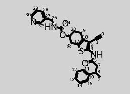 C#Cc1c(NC(=O)CC(C)c2ccccc2)sc2c1CCC(OC(=O)NCc1cccnc1)C2